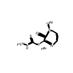 Br.CCCn1ccnc(OC(=S)NN)c1=O